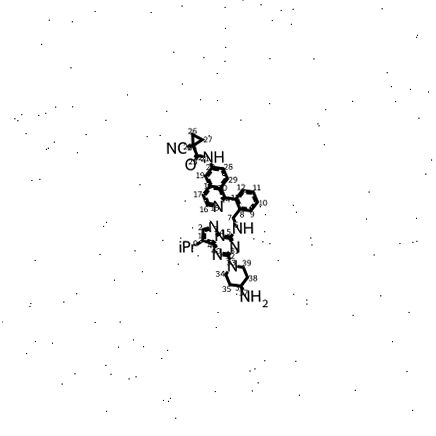 CC(C)c1cnn2c(NCc3ccccc3-c3nccc4cc(NC(=O)C5(C#N)CC5)ccc34)nc(N3CCC(N)CC3)nc12